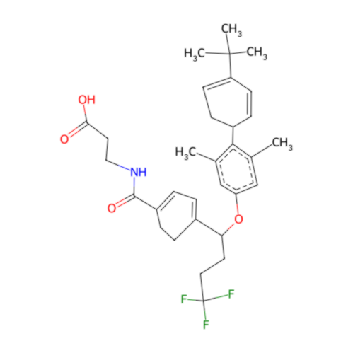 Cc1cc(OC(CCC(F)(F)F)C2=CC=C(C(=O)NCCC(=O)O)CC2)cc(C)c1C1C=CC(C(C)(C)C)=CC1